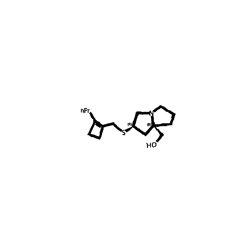 CCCC1=C(CS[C@H]2CN3CCC[C@]3(CO)C2)CC1